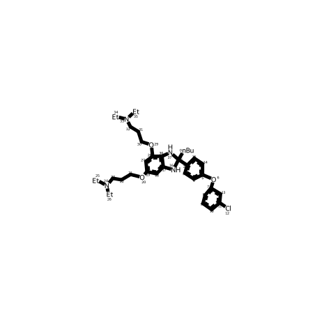 CCCCC1(c2ccc(Oc3cccc(Cl)c3)cc2)Nc2cc(OCCCN(CC)CC)cc(OCCCN(CC)CC)c2N1